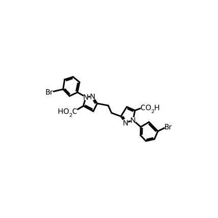 O=C(O)c1cc(CCc2cc(C(=O)O)n(-c3cccc(Br)c3)n2)nn1-c1cccc(Br)c1